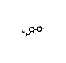 CC(CC1CNCC(c2ccc(F)cc2)C1=O)OC=O